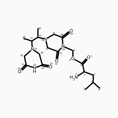 CC(C)CC(N)C(=O)OCN1C(=O)CN(C(C)C(C)N2CC(=O)NC(=O)C2)CC1=O